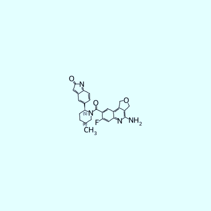 C[C@@H]1CC[C@@H](c2ccc3c(c2)=CC(=O)N=3)N(C(=O)c2cc3c4c(c(N)nc3cc2F)COC4)C1